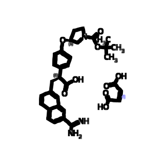 CC(C)(C)OC(=O)N1CC[C@H](Oc2ccc([C@H](Cc3ccc4ccc(C(=N)N)cc4c3)C(=O)O)cc2)C1.O=C(O)/C=C\C(=O)O